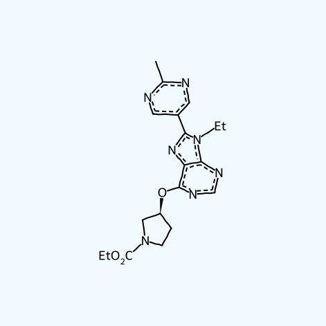 CCOC(=O)N1CC[C@H](Oc2ncnc3c2nc(-c2cnc(C)nc2)n3CC)C1